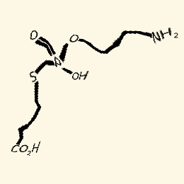 NCCOP(=O)(O)SCCC(=O)O